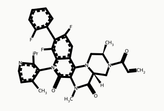 C=CC(=O)N1C[C@@H]2C(=O)N(C)c3c(c4cc(F)c(-c5ccccc5F)c(F)c4n(-c4c(C)ccnc4C(C)C)c3=O)N2C[C@H]1C